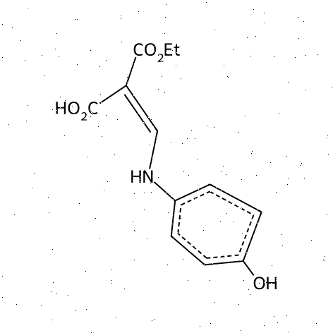 CCOC(=O)C(=CNc1ccc(O)cc1)C(=O)O